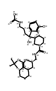 CC(C)(C)OC(=O)N[C@@H](CNC(=O)N1CCCC([C@@](O)(CCCNC(=O)O)c2cccc(Cl)c2F)C1)CC1CCCCC1